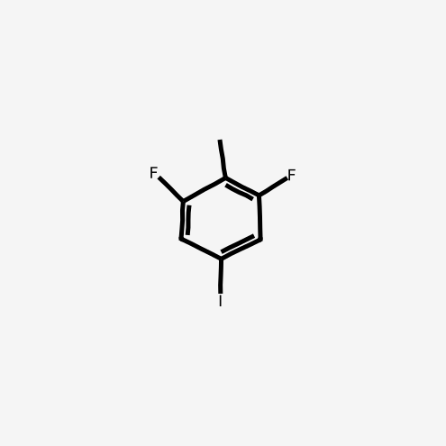 Cc1c(F)cc(I)cc1F